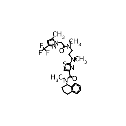 Cc1cc(C(F)(F)F)nn1CC(=O)N(C)CCN(C)c1nc(C(=O)N(C)[C@@H]2CCCc3ccccc32)cs1